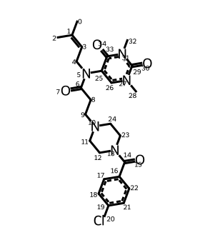 CC(C)=CCN(C(=O)CCN1CCN(C(=O)c2ccc(Cl)cc2)CC1)c1cn(C)c(=O)n(C)c1=O